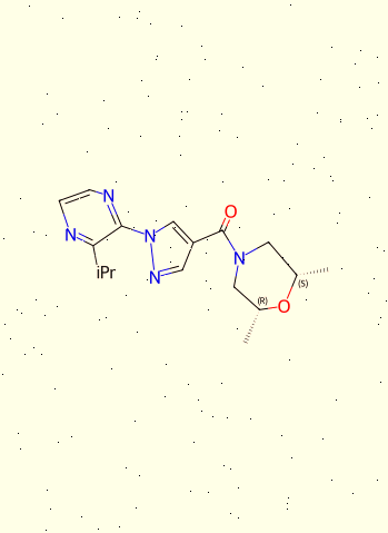 CC(C)c1nccnc1-n1cc(C(=O)N2C[C@@H](C)O[C@@H](C)C2)cn1